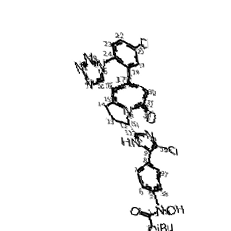 CC(C)COC(=O)N(O)c1ccc(-c2[nH]c([C@@H]3CCc4cc(-c5cc(Cl)ccc5-n5cnnn5)cc(=O)n43)nc2Cl)cc1